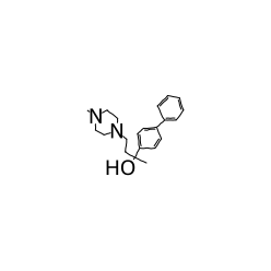 CN1CCN(CCC(C)(O)c2ccc(-c3ccccc3)cc2)CC1